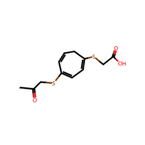 CC(=O)CSC1=CC=C(SCC(=O)O)CC=C1